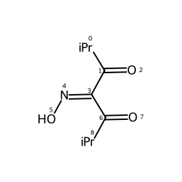 CC(C)C(=O)C(=NO)C(=O)C(C)C